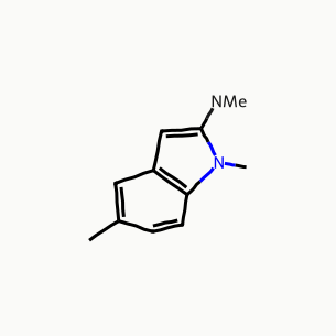 CNc1cc2cc(C)ccc2n1C